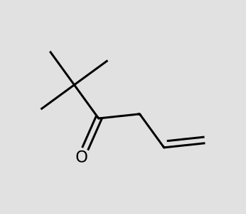 C=CCC(=O)C(C)(C)C